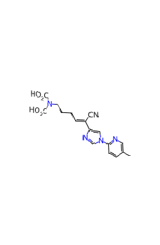 Cc1ccc(-n2cnc(C(C#N)=CCCCN(C(=O)O)C(=O)O)c2)nc1